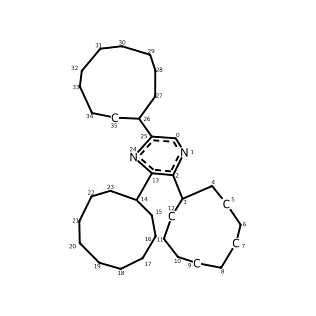 c1nc(C2CCCCCCCCC2)c(C2CCCCCCCCC2)nc1C1CCCCCCCCC1